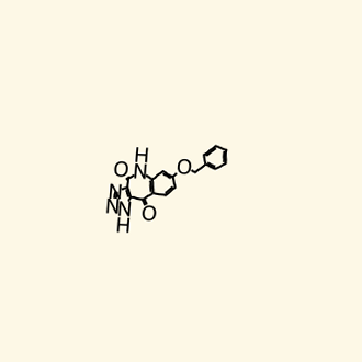 O=c1[nH]c2cc(OCc3ccccc3)ccc2c(=O)c2[nH]nnc12